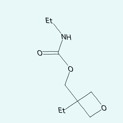 CCNC(=O)OCC1(CC)COC1